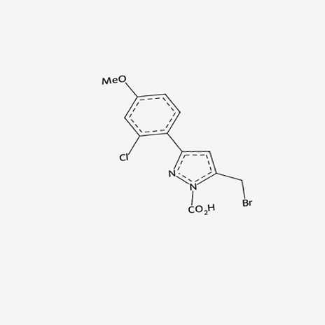 COc1ccc(-c2cc(CBr)n(C(=O)O)n2)c(Cl)c1